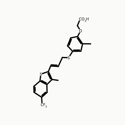 Cc1cc(SCC=Cc2sc3ccc(C(F)(F)F)cc3c2C)ccc1OCC(=O)O